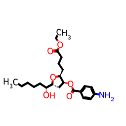 CCCCC[C@@H](O)[C@H]1C[C@H](OC(=O)c2ccc(N)cc2)[C@H](CCCC(=O)OCC)O1